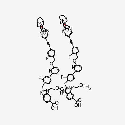 COCCn1c(Cc2ccc(-c3cccc(OCc4ccc(C#Cc5cnc(N6CC7CCC(C6)N7C6COC6)nc5)cc4F)n3)cc2F)nc2ccc(C(=O)O)cc21.COCCn1c(Cc2ccc(-c3cccc(OCc4ccc(C#Cc5cnc(N6CC7CCC(C6)N7C6COC6)nc5)cc4F)n3)cc2F)nc2ccc(C(=O)O)cc21